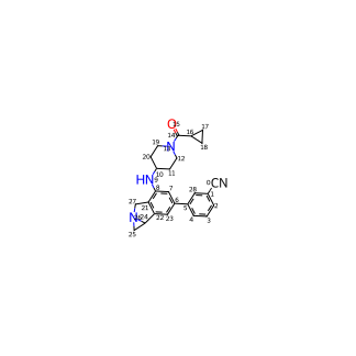 N#Cc1cccc(-c2cc(NC3CCN(C(=O)C4CC4)CC3)c3c(c2)C2CN2C3)c1